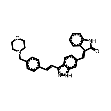 O=C1Nc2ccccc2/C1=C\c1ccc2c(/C=C/c3ccc(CN4CCOCC4)cc3)n[nH]c2c1